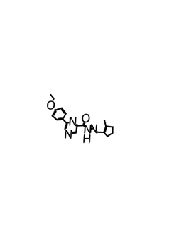 CCOc1ccc(-c2cncc(C(=O)NN=CC3=C(C)CCC3)n2)cc1